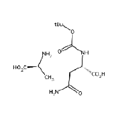 CC(C)(C)OC(=O)N[C@@H](CC(N)=O)C(=O)O.C[C@H](N)C(=O)O